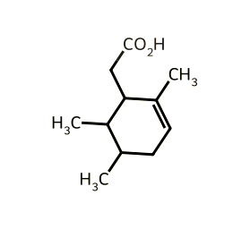 CC1=CCC(C)C(C)C1CC(=O)O